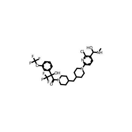 CNC(O)c1ccc(N2CCC(CC3CCN(C(=O)C(O)(c4cccc(OC(F)(F)F)c4)C(F)(F)F)CC3)CC2)nc1Cl